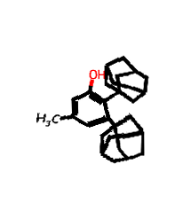 Cc1cc(O)c(C23CC4CC(CC(C4)C2)C3)c(C23CC4CC(CC(C4)C2)C3)c1